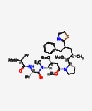 CC[C@H](C)[C@@H]([C@@H](CC(=O)N1CCC[C@H]1[C@H](OC)[C@@H](C)CC(Cc1ccccc1)c1nccs1)OC)N(C)C(=O)[C@@H](NC(=O)[C@@H](NC)C(C)C)C(C)C